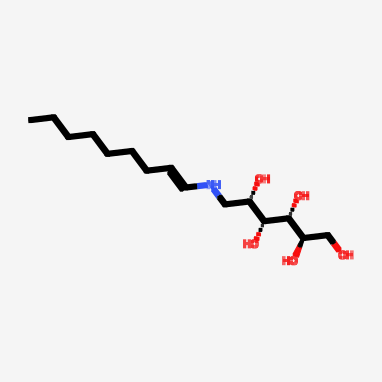 CCCCCCCC=CNC[C@H](O)[C@@H](O)[C@H](O)[C@H](O)CO